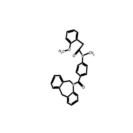 COc1ccccc1CC(=O)N(C)c1ccc(C(=O)N2Cc3ccccc3Cc3ccccc32)cc1